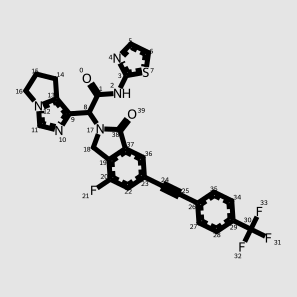 O=C(Nc1nccs1)C(c1ncn2c1CCC2)N1Cc2c(F)cc(C#Cc3ccc(C(F)(F)F)cc3)cc2C1=O